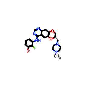 CN1CCN(C[C@H]2COC3=C(C=C4C(Nc5cccc(Br)c5F)=NC=NC4C3)O2)CC1